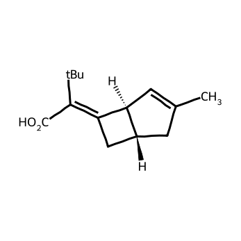 CC1=C[C@@H]2C(=C(C(=O)O)C(C)(C)C)C[C@H]2C1